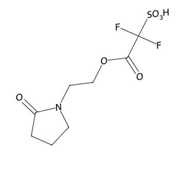 O=C1CCCN1CCOC(=O)C(F)(F)S(=O)(=O)O